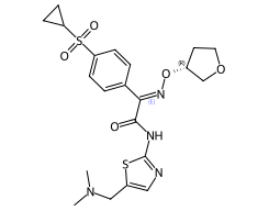 CN(C)Cc1cnc(NC(=O)/C(=N/O[C@@H]2CCOC2)c2ccc(S(=O)(=O)C3CC3)cc2)s1